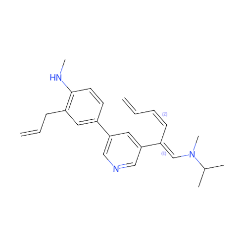 C=C/C=C\C(=C/N(C)C(C)C)c1cncc(-c2ccc(NC)c(CC=C)c2)c1